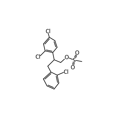 CS(=O)(=O)OCC(Cc1ccccc1Cl)c1ccc(Cl)cc1Cl